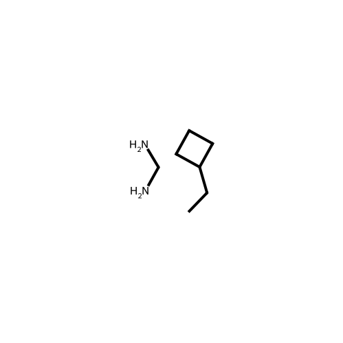 CCC1CCC1.NCN